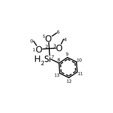 COC(OC)(OC)[SiH2]c1ccccc1